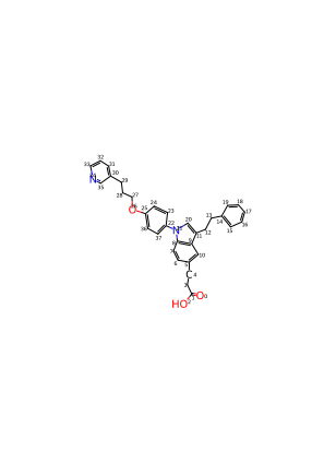 O=C(O)CCc1ccc2c(c1)c(CCc1ccccc1)cn2-c1ccc(OCCCc2cccnc2)cc1